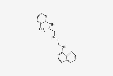 Cc1cccnc1NCCNCCNc1cccc2ccccc12